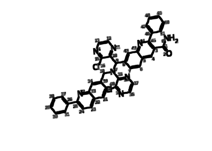 NC(=O)c1cc2ccc(C(c3nccnc3Cl)N(Cc3ccc4ccc(-c5ccccc5)nc4c3)c3nccnc3Cl)cc2nc1-c1ccccc1